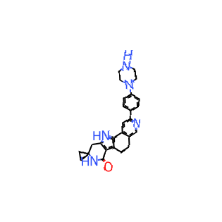 O=C1NC2(CC2)Cc2[nH]c3c(c21)CCc1cnc(-c2ccc(N4CCNCC4)cc2)cc1-3